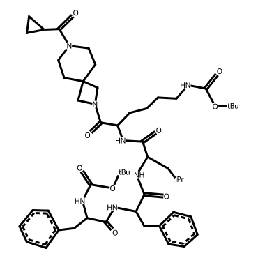 CC(C)CC(NC(=O)C(Cc1ccccc1)NC(=O)C(Cc1ccccc1)NC(=O)OC(C)(C)C)C(=O)NC(CCCCNC(=O)OC(C)(C)C)C(=O)N1CC2(CCN(C(=O)C3CC3)CC2)C1